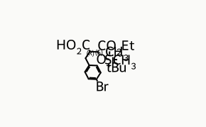 CCOC(=O)[C@@H](O[Si](C)(C)C(C)(C)C)[C@@H](Cc1ccc(Br)cc1)C(=O)O